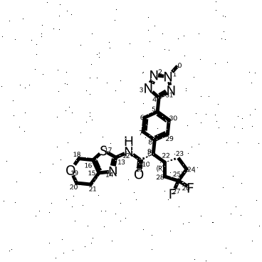 Cn1nnc(-c2ccc([C@@H](C(=O)Nc3nc4c(s3)COCC4)[C@@H]3CCC(F)(F)C3)cc2)n1